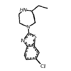 CCC1CN(c2nc3ccc(Cl)cc3s2)CCN1